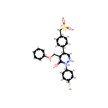 O=c1c(COc2ccccc2)c(-c2ccc(C[SH](=O)=O)cc2)cnn1-c1ccc(F)cc1